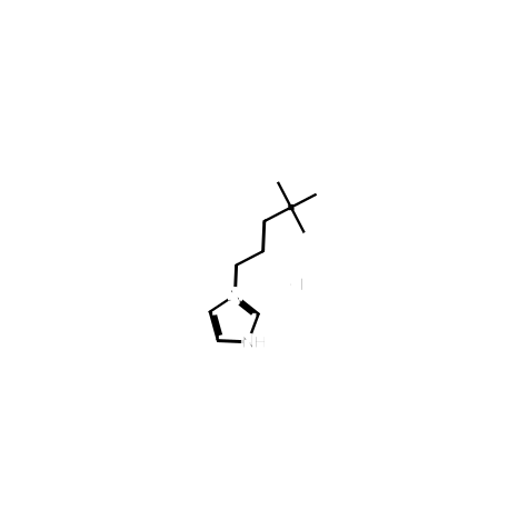 CC(C)(C)CCC[n+]1cc[nH]c1.[Cl-]